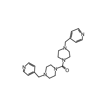 O=C(N1CCN(Cc2ccncc2)CC1)N1CCN(Cc2ccncc2)CC1